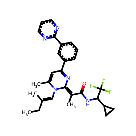 CC/C(C)=C/N1C(C)=CC(c2cccc(-c3ncccn3)c2)=N/C1=C(/C)C(=O)NC(C1CC1)C(F)(F)F